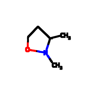 C[C]1CCON1C